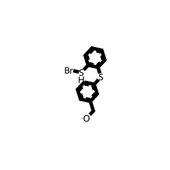 [O]Cc1ccc2c(c1)Sc1ccccc1[SH]2Br